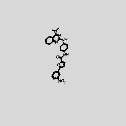 CN(C)c1nc(N[C@H]2CC[C@@H](NC(=O)c3ccc(-c4cccc([N+](=O)[O-])c4)o3)CC2)nc2c1CCCC2